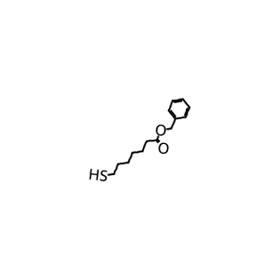 O=C(CCCCCCS)OCc1ccccc1